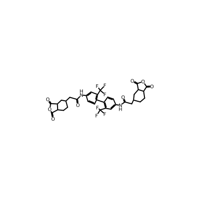 O=C(CC1CCC2C(=O)OC(=O)C2C1)Nc1ccc(-c2ccc(NC(=O)CC3CCC4C(=O)OC(=O)C4C3)cc2C(F)(F)F)c(C(F)(F)F)c1